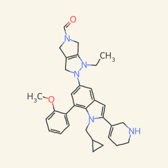 CCN1C2=C(CN(C=O)C2)CN1c1cc(-c2ccccc2OC)c2c(c1)cc(C1=CCCNC1)n2CC1CC1